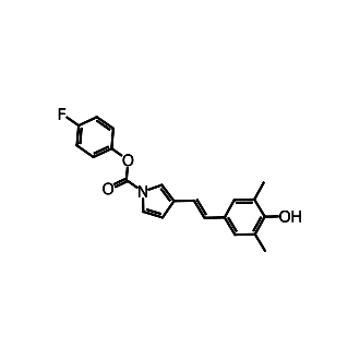 Cc1cc(/C=C/c2ccn(C(=O)Oc3ccc(F)cc3)c2)cc(C)c1O